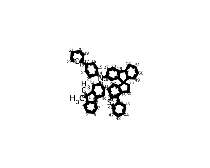 CC1(C)c2ccccc2-c2ccc(N(c3ccc(-c4ccccc4)cc3)c3ccc4c(c3)C3(CCc5c3ccc3sc6ccccc6c53)c3ccccc3-4)cc21